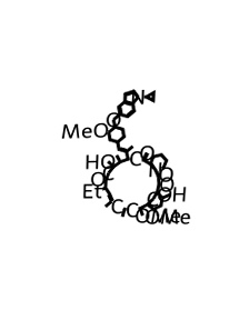 CCC1/C=C(\C)CC(C)CC(OC)C2CC(O)(C(=O)C(=O)N3CCCCC3C(=O)CC(C(C)=CC3CCC(Oc4ccc5c(ccn5C5CC5)c4)C(OC)C3)C(C)C(O)CC1=O)C(C)CC2OC